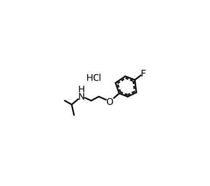 CC(C)NCCOc1ccc(F)cc1.Cl